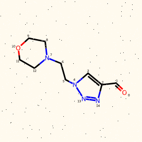 O=Cc1cn(CCN2CCOCC2)nn1